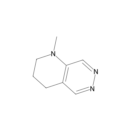 CN1CCCc2cnncc21